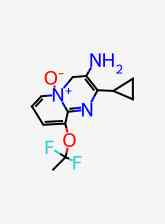 CC(F)(F)OC1=CC=C[N+]2([O-])CC(N)=C(C3CC3)N=C12